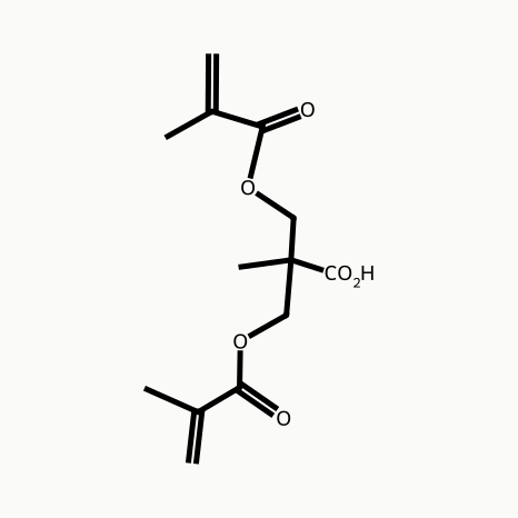 C=C(C)C(=O)OCC(C)(COC(=O)C(=C)C)C(=O)O